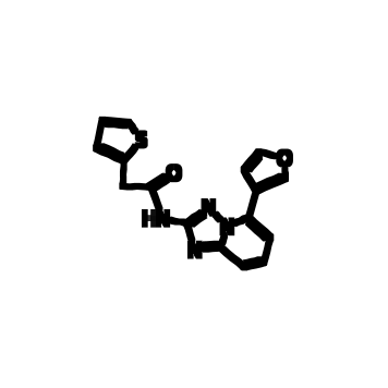 O=C(Cc1cccs1)Nc1nc2cccc(-c3ccoc3)n2n1